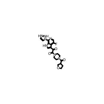 O=C(C(=O)N1CCN(C(=O)C2CCOC2)CC1)c1c[nH]c2c(N3C=CNN3)ncc(F)c12